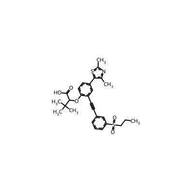 CCCS(=O)(=O)c1cccc(C#Cc2cc(-c3sc(C)nc3C)ccc2OC(C(=O)O)C(C)(C)C)c1